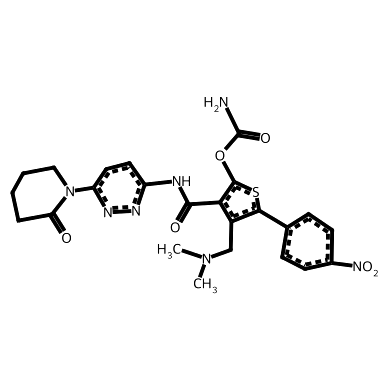 CN(C)Cc1c(-c2ccc([N+](=O)[O-])cc2)sc(OC(N)=O)c1C(=O)Nc1ccc(N2CCCCC2=O)nn1